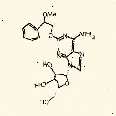 CO[C@@H](COc1nc(N)c2ncn([C@@H]3O[C@H](CO)[C@@H](O)[C@H]3O)c2n1)c1ccccc1